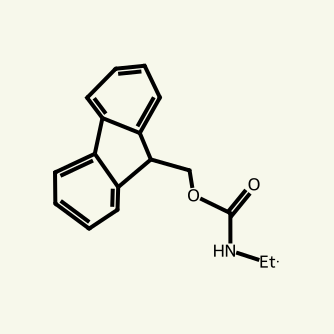 C[CH]NC(=O)OCC1c2ccccc2-c2ccccc21